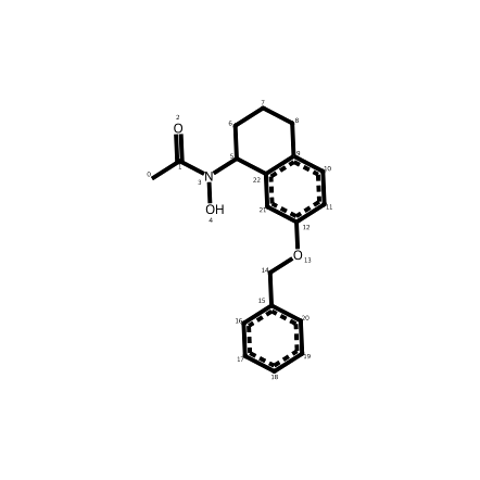 CC(=O)N(O)C1CCCc2ccc(OCc3ccccc3)cc21